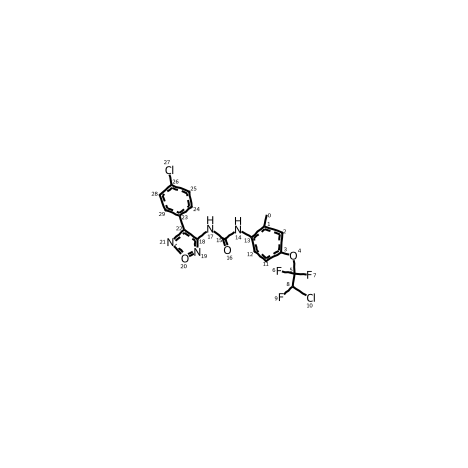 Cc1cc(OC(F)(F)C(F)Cl)ccc1NC(=O)Nc1nonc1-c1ccc(Cl)cc1